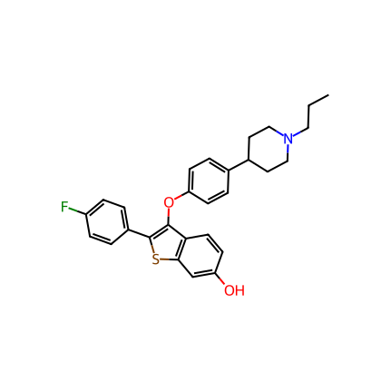 CCCN1CCC(c2ccc(Oc3c(-c4ccc(F)cc4)sc4cc(O)ccc34)cc2)CC1